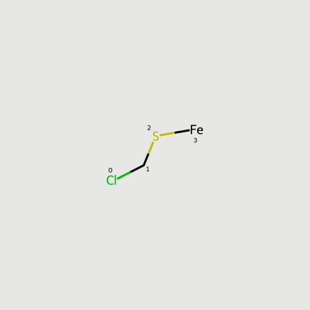 ClC[S][Fe]